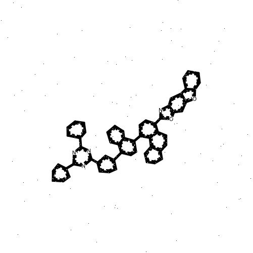 c1ccc(-c2nc(-c3ccccc3)nc(-c3cccc(-c4ccc(-c5ccc(-c6nc7cc8c(cc7o6)oc6ccccc68)c6ccc7ccccc7c56)c5ccccc45)c3)n2)cc1